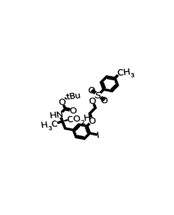 Cc1ccc(S(=O)(=O)OCCOc2cc(C[C@](C)(NC(=O)OC(C)(C)C)C(=O)O)ccc2I)cc1